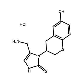 Cl.NCc1c[nH]c(=S)n1C1CSc2ccc(O)cc2C1